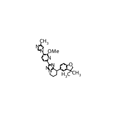 COc1nc(-c2nc3n(n2)CCCC3c2ccc3c(c2)C(C)(C)CO3)ccc1-n1cnc(C)c1